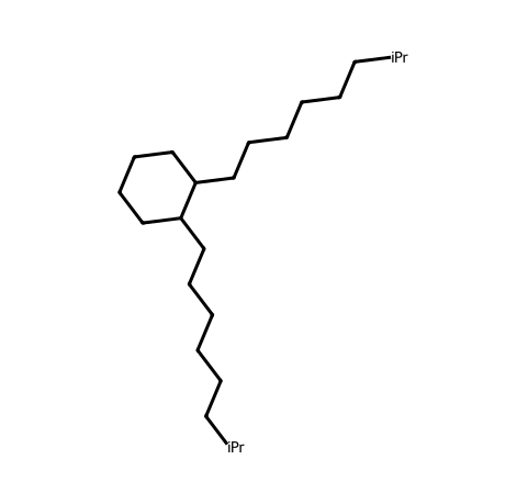 CC(C)CCCCCCC1CCCCC1CCCCCCC(C)C